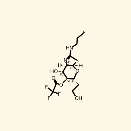 O=C(O[C@H]1[C@H](O)[C@H]2N=C(NCCF)S[C@H]2O[C@@H]1CCO)C(F)(F)F